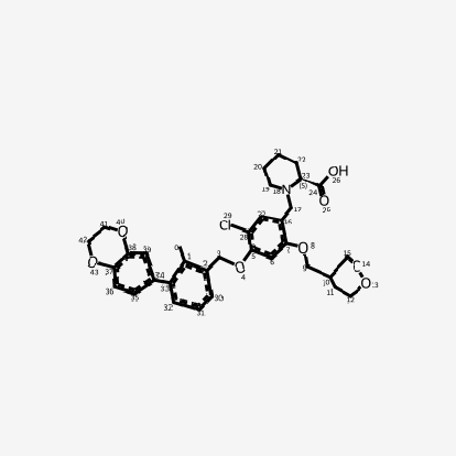 Cc1c(COc2cc(OCC3CCOCC3)c(CN3CCCC[C@H]3C(=O)O)cc2Cl)cccc1-c1ccc2c(c1)OCCO2